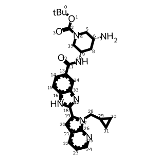 CC(C)(C)OC(=O)N1C[C@H](N)C[C@H](NC(=O)c2ccc3[nH]c(-c4cc5cccnc5n4CC4CC4)nc3c2)C1